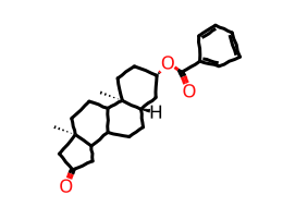 C[C@]12CCC3C(CC[C@H]4C[C@@H](OC(=O)c5ccccc5)CC[C@]34C)C1CC(=O)C2